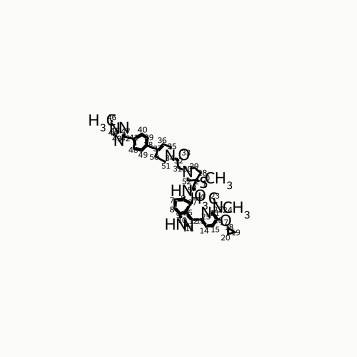 CSC1(C(=O)Nc2ccc3[nH]nc(-c4ccc(OC5CC5)c(N(C)C)n4)c3c2)CCN(CC(=O)N2CC=C(c3ccc(-c4ncn(C)n4)cc3)CC2)C1